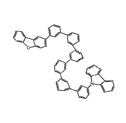 c1cc(-c2cccc(-c3cccc(-c4cccc(-n5c6ccccc6c6ccccc65)c4)c3)c2)cc(-c2cccc(-c3cccc(-c4ccc5oc6ccccc6c5c4)c3)c2)c1